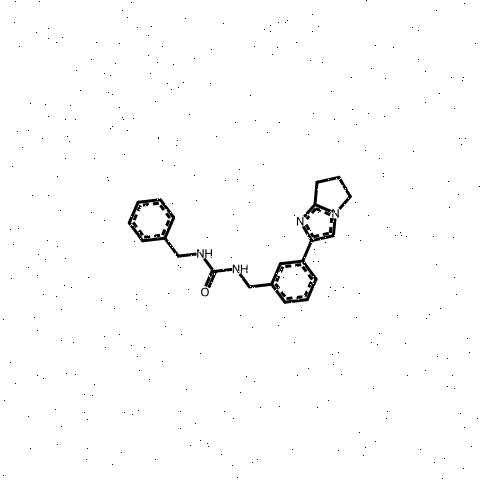 O=C(NCc1ccccc1)NCc1cccc(-c2cn3c(n2)CCC3)c1